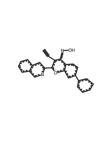 C#Cc1c(-c2cc3ccccc3cn2)oc2cc(-c3ccccc3)ccc2c1=NO